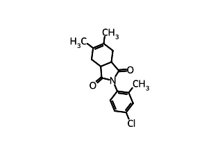 CC1=C(C)CC2C(=O)N(c3ccc(Cl)cc3C)C(=O)C2C1